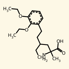 CCOc1cccc(CCC(CC)CC(C)(N)C(=O)O)c1OCC